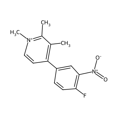 Cc1c(-c2ccc(F)c([N+](=O)[O-])c2)cc[n+](C)c1C